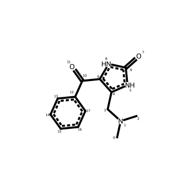 CN(C)Cc1[nH]c(=O)[nH]c1C(=O)c1ccccc1